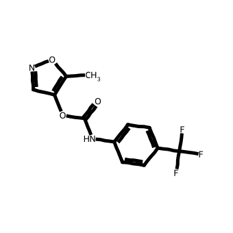 Cc1oncc1OC(=O)Nc1ccc(C(F)(F)F)cc1